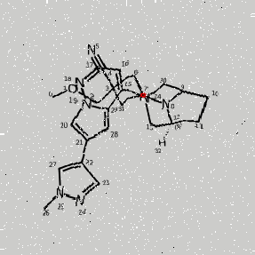 COCC1(C#N)CC(N2C3CC[C@H]2CN(c2ccnn4cc(-c5cnn(C)c5)cc24)C3)C1